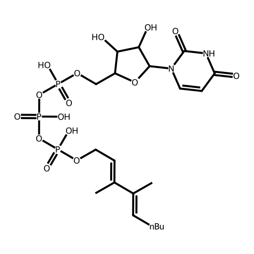 CCCC/C=C(C)/C(C)=C/COP(=O)(O)OP(=O)(O)OP(=O)(O)OCC1OC(n2ccc(=O)[nH]c2=O)C(O)C1O